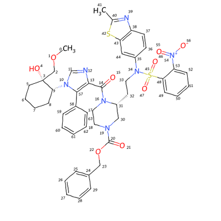 COC[C@]1(O)CCCC[C@H]1n1cnc(C(=O)N2CCN(C(=O)OCc3ccccc3)C[C@H]2CCN(c2ccc3nc(C)sc3c2)S(=O)(=O)c2ccccc2[N+](=O)[O-])c1-c1ccccc1